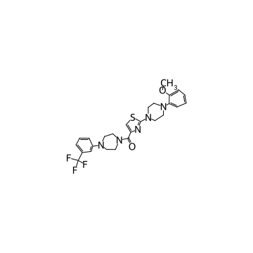 COc1ccccc1N1CCN(c2nc(C(=O)N3CCN(c4cccc(C(F)(F)F)c4)CC3)cs2)CC1